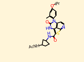 CC(=O)NC1CCC(NC(=O)c2sc3nccc4c3c2NC(=O)N4c2ccc(OC(C)C)cc2C)C1